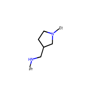 CCN1CCC(CNC(C)C)C1